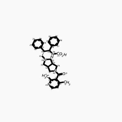 Cc1ccnc(C)c1C(=O)N1CC2CN(C[C@H](c3ccccc3)C(NC(=O)O)c3ccccc3)CC2C1